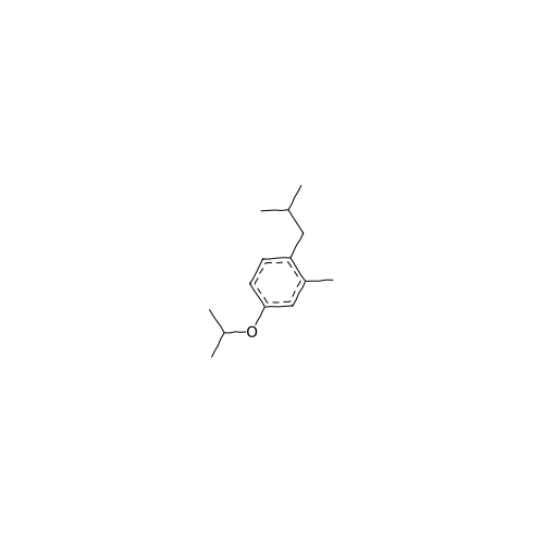 Cc1cc(OC(C)C)ccc1CC(C)C